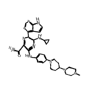 CN1CCN(C2CCN(c3ccc(Nc4nc(NC5CC5)c(-c5ncnc6[nH]ccc56)nc4C(N)=O)cc3)CC2)CC1